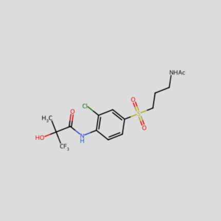 CC(=O)NCCCS(=O)(=O)c1ccc(NC(=O)C(C)(O)C(F)(F)F)c(Cl)c1